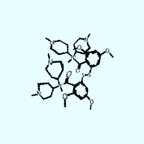 COc1cc(OC)c(C(=O)[N+](C)(C2CCN(C)CC2)C2CCN(C)CC2)c(SSc2cc(OC)cc(OC)c2C(=O)[N+](C)(C2CCN(C)CC2)C2CCN(C)CC2)c1